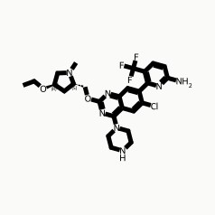 CCO[C@@H]1C[C@@H](COc2nc(N3CCNCC3)c3cc(Cl)c(-c4nc(N)ccc4C(F)(F)F)cc3n2)N(C)C1